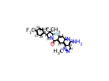 Cn1ncc2c(N)nc3cc(F)c(C(=O)N4C[C@@H](c5ccc(C(F)(F)F)cc5)C(C)(C)C4)cc3c21